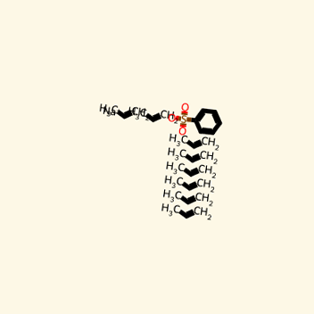 C=CC.C=CC.C=CC.C=CC.C=CC.C=CC.C=CC.C=CC.O=S(=O)([O-])c1ccccc1.[Na+]